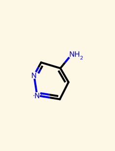 NC1=CC=[N+]N=C1